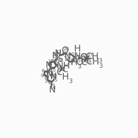 CC(C)Nc1cc(-c2ccc3cc(C#N)cnn23)ncc1-c1nnc(C(=O)N2CCC[C@H](NC(=O)OC(C)(C)C)C2)s1